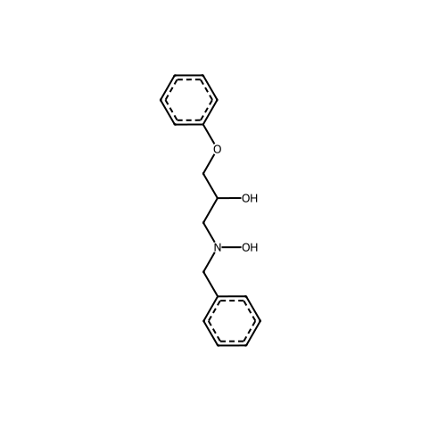 OC(COc1ccccc1)CN(O)Cc1ccccc1